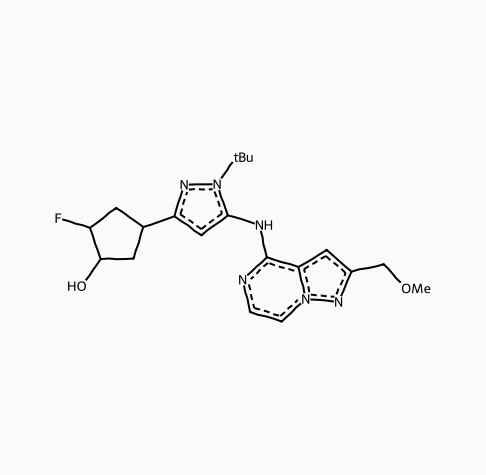 COCc1cc2c(Nc3cc(C4CC(O)C(F)C4)nn3C(C)(C)C)nccn2n1